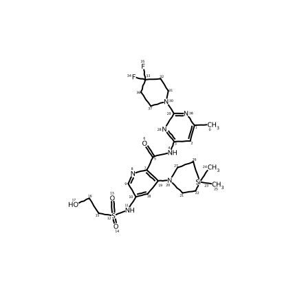 Cc1cc(NC(=O)c2ncc(NS(=O)(=O)CCO)cc2N2CC[Si](C)(C)CC2)nc(N2CCC(F)(F)CC2)n1